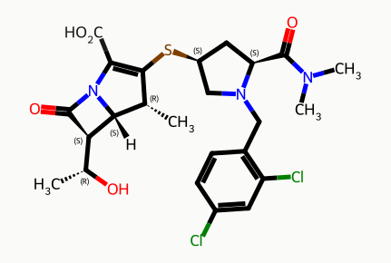 C[C@@H](O)[C@H]1C(=O)N2C(C(=O)O)=C(S[C@H]3C[C@@H](C(=O)N(C)C)N(Cc4ccc(Cl)cc4Cl)C3)[C@H](C)[C@H]12